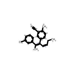 CC/C=C\C(=C(/C)c1cccc(Cl)c1)c1ccc(C)c(C#N)c1